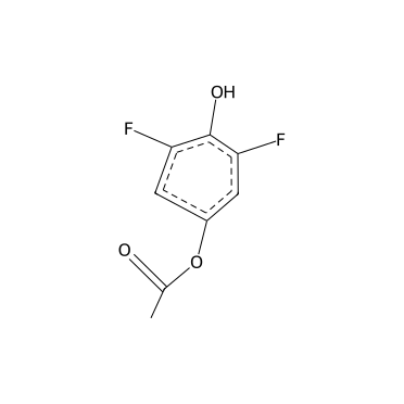 CC(=O)Oc1cc(F)c(O)c(F)c1